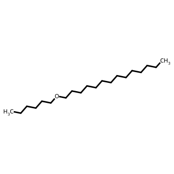 CCCCCCCCCCCCCCOCCCCCC